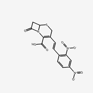 O=C(O)C1=C(C=Cc2ccc([N+](=O)[O-])cc2[N+](=O)[O-])CSC2CC(=O)N12